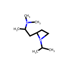 CC(CC1CCN1C(C)C)N(C)C